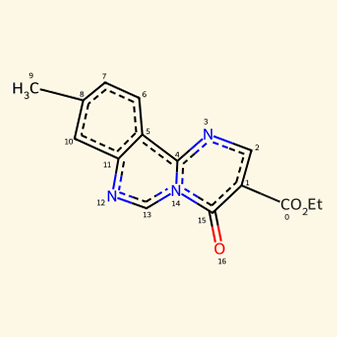 CCOC(=O)c1cnc2c3ccc(C)cc3ncn2c1=O